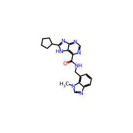 Cn1cnc2cccc(CNC(=O)c3ncnc4nc(C5CCCC5)[nH]c34)c21